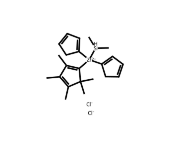 CC1=C(C)C(C)(C)[C]([Zr+2]([C]2=CC=CC2)([C]2=CC=CC2)[SiH](C)C)=C1C.[Cl-].[Cl-]